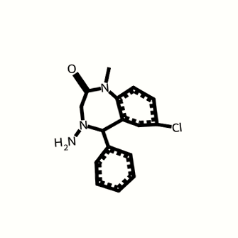 CN1C(=O)CN(N)C(c2ccccc2)c2cc(Cl)ccc21